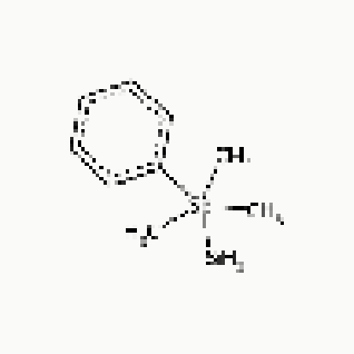 C[SeH](C)(C)([SiH3])c1ccccc1